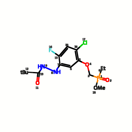 CCP(=O)(COc1cc(NNC(=O)C(C)(C)C)c(F)cc1Cl)OC